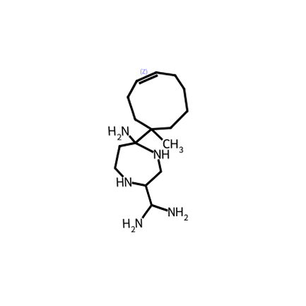 CC1(C2(N)CCNC(C(N)N)CN2)CC/C=C\CCCC1